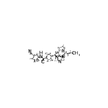 CC#CC(=O)N1CCCC1c1cc(-c2ccc(C(=O)Nc3cc(C#N)ccn3)cc2)n2cnccc12